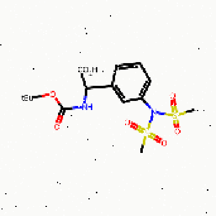 CC(C)(C)OC(=O)NC(C(=O)O)c1cccc(N(S(C)(=O)=O)S(C)(=O)=O)c1